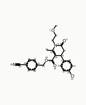 COCCN1C(=O)CC(c2ccc(Cl)cc2)C(C(=O)OCc2ccc(C#N)cc2)=C1C